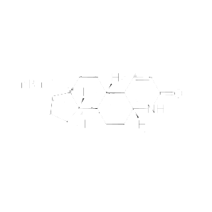 CCCC[C@H]1CC[C@H]2[C@@H]3[C@@H](C)C[C@H]4NC(=O)C=C[C@]4(C)[C@H]3CC[C@]12C